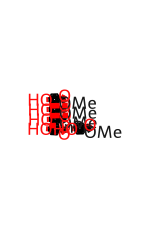 CCCOC(=O)c1ccc(O)cc1.COC(=O)c1ccc(O)cc1.COC(=O)c1ccc(O)cc1.COC(=O)c1ccc(O)cc1.COC(=O)c1ccc(O)cc1